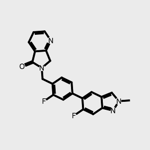 Cn1cc2cc(-c3ccc(CN4Cc5ncccc5C4=O)c(F)c3)c(F)cc2n1